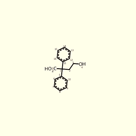 O=C(O)C(CCO)(c1ccccc1)c1ccccc1